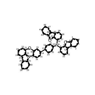 c1ccc2c(c1)oc1c(N(c3ccc(-c4ccc5c(c4)Oc4cccc6c7ccccc7n-5c46)cc3)c3cccc4c3oc3ccccc34)cccc12